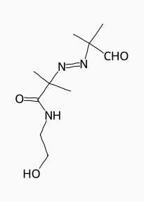 CC(C)(C=O)N=NC(C)(C)C(=O)NCCO